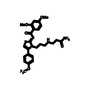 COc1ccc(C(=O)/N=c2\scc(-c3ccc(OC(F)(F)F)cc3)n2CCCNCCC(N)=O)c(OC)c1